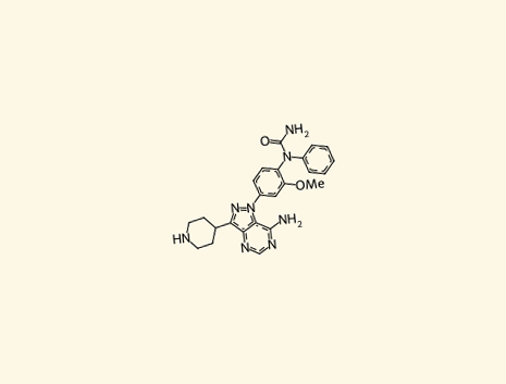 COc1cc(-n2nc(C3CCNCC3)c3ncnc(N)c32)ccc1N(C(N)=O)c1ccccc1